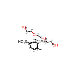 COC.Cc1ccc(S(=O)(=O)O)cc1.OCCOCCOCCO